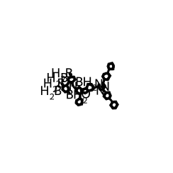 Bc1cc(B)c2c(c1B)c1c(B)c(B)cc(B)c1n2-c1cc(-c2ccccc2)c2oc3cc(-c4nc(-c5ccc(-c6ccccc6)cc5)nc(-c5ccc(-c6ccccc6)cc5)n4)ccc3c2c1